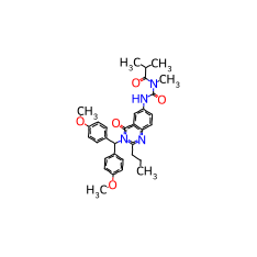 CCCc1nc2ccc(NC(=O)N(C)C(=O)C(C)C)cc2c(=O)n1C(c1ccc(OC)cc1)c1ccc(OC)cc1